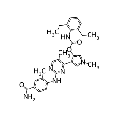 CCc1cccc(CC)c1NC(=O)Oc1cn(C)cc1-c1nc(Nc2ccc(C(N)=O)cc2C)ncc1C